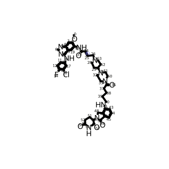 COc1cc2ncnc(Nc3ccc(F)c(Cl)c3)c2cc1NC(=O)/C=C/CN1CCC(N2CCN(C(=O)CCCCNc3cccc4c3CN(C3CCC(=O)NC3=O)C4=O)CC2)CC1